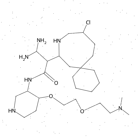 CN(C)CCOCCOC1CCNCC1NC(=O)C(C(N)N)C1CC2(CCCCC2)CCC(Cl)CN1